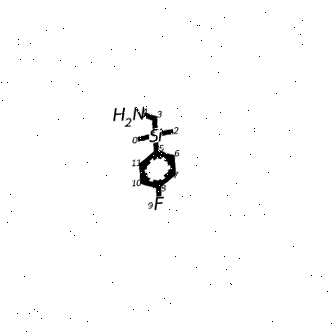 C[Si](C)(CN)c1ccc(F)cc1